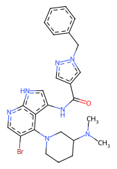 CN(C)C1CCCN(c2c(Br)cnc3[nH]cc(NC(=O)c4cnn(Cc5ccccc5)c4)c23)C1